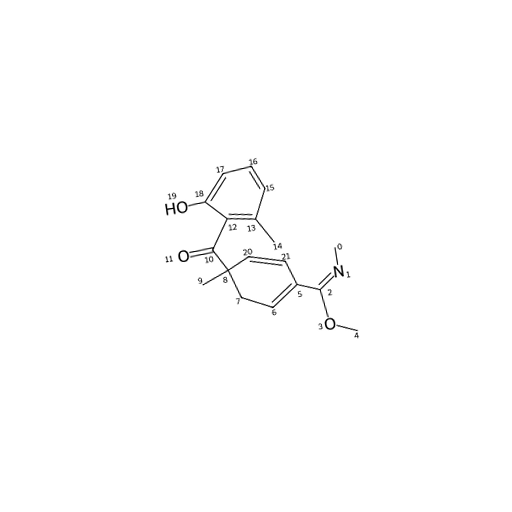 C/N=C(/OC)C1=CCC(C)(C(=O)c2c(C)cccc2O)C=C1